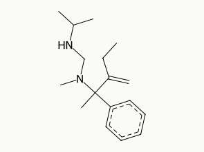 C=C(CC)C(C)(c1ccccc1)N(C)CNC(C)C